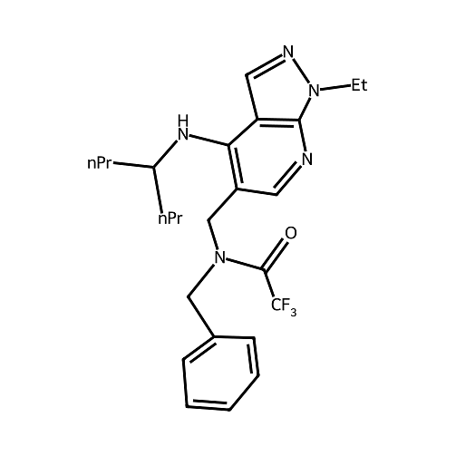 CCCC(CCC)Nc1c(CN(Cc2ccccc2)C(=O)C(F)(F)F)cnc2c1cnn2CC